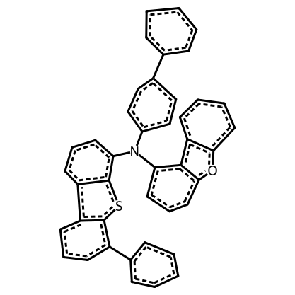 c1ccc(-c2ccc(N(c3cccc4c3sc3c(-c5ccccc5)cccc34)c3cccc4oc5ccccc5c34)cc2)cc1